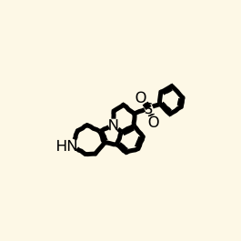 O=S(=O)(c1ccccc1)C1CCn2c3c(c4cccc1c42)CCNCC3